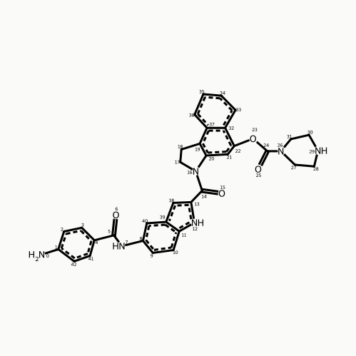 Nc1ccc(C(=O)Nc2ccc3[nH]c(C(=O)N4CCc5c4cc(OC(=O)N4CCNCC4)c4ccccc54)cc3c2)cc1